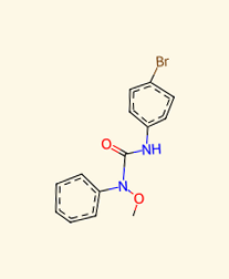 CON(C(=O)Nc1ccc(Br)cc1)c1ccccc1